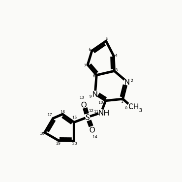 Cc1nc2ccccc2nc1NS(=O)(=O)c1ccccc1